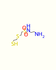 NCCNS(=O)(=O)CCSCCS